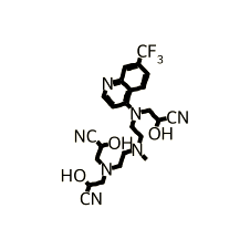 CN(CCN(CC(O)C#N)CC(O)C#N)CCN(CC(O)C#N)c1ccnc2cc(C(F)(F)F)ccc12